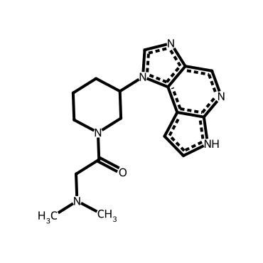 CN(C)CC(=O)N1CCCC(n2cnc3cnc4[nH]ccc4c32)C1